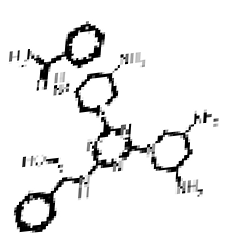 NC(=O)c1ccccc1.N[C@@H]1C[C@H](N)CN(c2nc(N[C@@H](CO)c3ccccc3)nc(N3C[C@H](N)C[C@H](N)C3)n2)C1